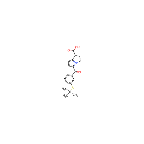 CC(C)(C)Sc1cccc(C(=O)c2ccc3n2CCC3C(=O)O)c1